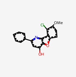 COc1ccc2oc3c(O)cc(-c4ccccc4)nc3c2c1Cl